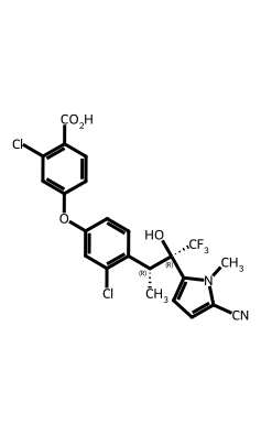 C[C@H](c1ccc(Oc2ccc(C(=O)O)c(Cl)c2)cc1Cl)[C@@](O)(c1ccc(C#N)n1C)C(F)(F)F